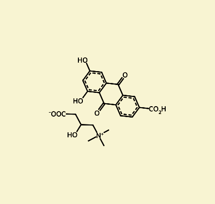 C[N+](C)(C)CC(O)CC(=O)[O-].O=C(O)c1ccc2c(c1)C(=O)c1cc(O)cc(O)c1C2=O